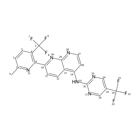 Cc1ccc(C(F)(F)F)c(-c2ccc3c(Nc4ncc(C(F)(F)F)cn4)ccnc3n2)n1